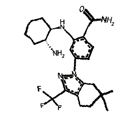 CC1(C)CCc2c(C(F)(F)F)nn(-c3ccc(C(N)=O)c(N[C@@H]4CCCC[C@H]4N)c3)c2C1